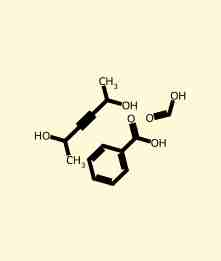 CC(O)C#CC(C)O.O=C(O)c1ccccc1.O=CO